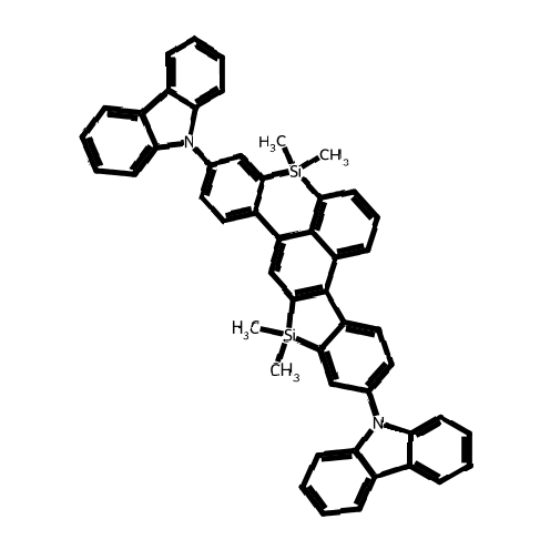 C[Si]1(C)c2cc(-n3c4ccccc4c4ccccc43)ccc2-c2c1cc1c3c(cccc23)[Si](C)(C)c2cc(-n3c4ccccc4c4ccccc43)ccc2-1